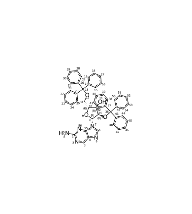 Nc1ncc2ncn([C@@H]3O[C@H](COC(c4ccccc4)(c4ccccc4)c4ccccc4)[C@@H](O)[C@H]3OC(c3ccccc3)(c3ccccc3)c3ccccc3)c2n1